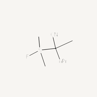 CCCC(C)(C#N)S(C)(C)F